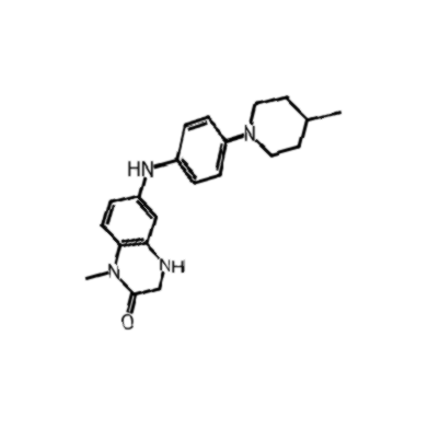 CC1CCN(c2ccc(Nc3ccc4c(c3)NCC(=O)N4C)cc2)CC1